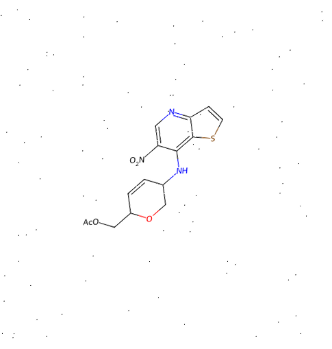 CC(=O)OCC1C=CC(Nc2c([N+](=O)[O-])cnc3ccsc23)CO1